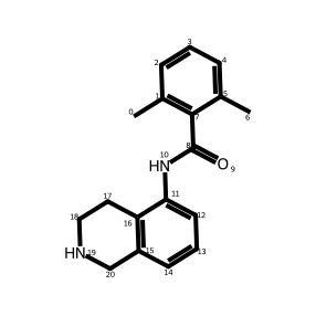 Cc1cccc(C)c1C(=O)Nc1cccc2c1CCNC2